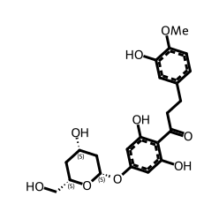 COc1ccc(CCC(=O)c2c(O)cc(O[C@H]3C[C@@H](O)C[C@@H](CO)O3)cc2O)cc1O